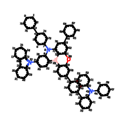 c1ccc(-c2ccc(N3c4cc(-n5c6ccccc6c6ccccc65)ccc4B4c5ccc(-c6ccc(-c7ccccc7N(c7ccccc7)c7ccccc7)cc6)cc5Oc5cc(-c6ccccc6)cc3c54)cc2)cc1